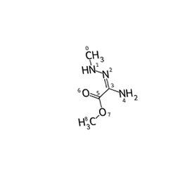 CN/N=C(/N)C(=O)OC